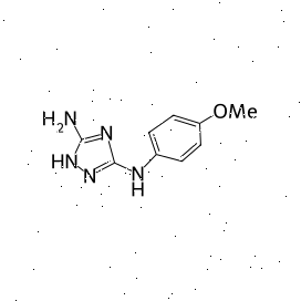 COc1ccc(Nc2n[nH]c(N)n2)cc1